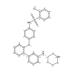 O=S(=O)(Nc1ccc(Oc2ncccc2-c2ccnc(N[C@H]3CCCNC3)n2)cc1)c1ccccc1Cl